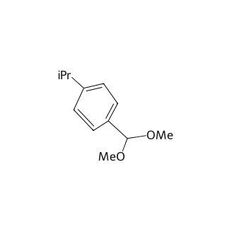 COC(OC)c1ccc(C(C)C)cc1